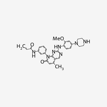 C=CC(=O)Nc1cccc(-n2c(=O)cc(C)c3cnc(Nc4ccc(N5CCNCC5)cc4OC)nc32)c1